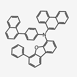 c1ccc(-c2cccc3c2oc2c(N(c4ccc(-c5cccc6ccccc56)cc4)c4cc5ccccc5c5ccccc45)cccc23)cc1